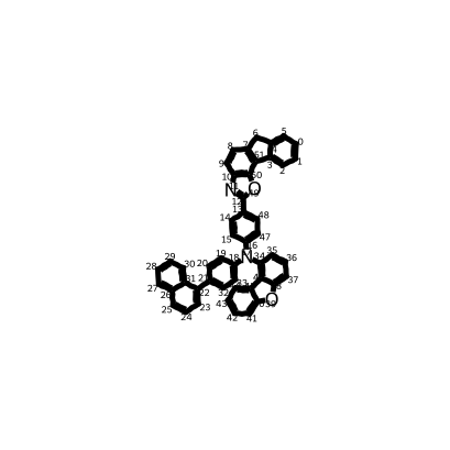 c1ccc2c(c1)Cc1ccc3nc(-c4ccc(N(c5ccc(-c6cccc7ccccc67)cc5)c5cccc6oc7ccccc7c56)cc4)oc3c1-2